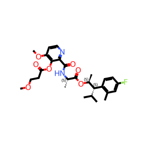 COCCC(=O)Oc1c(OC)ccnc1C(=O)N[C@@H](C)C(=O)O[C@@H](C)[C@H](c1ccc(F)cc1C)C(C)C